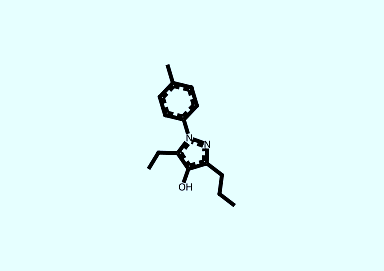 CCCc1nn(-c2ccc(C)cc2)c(CC)c1O